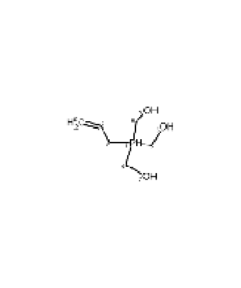 C=CC[PH](CO)(CO)CO